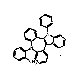 Cc1ccccc1N1c2ccccc2-c2c(n(-c3ccccc3)c3ccccc23)-c2ccccc21